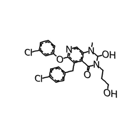 CN1c2cnc(Oc3cccc(Cl)c3)c(Cc3ccc(Cl)cc3)c2C(=O)N(CCCO)C1O